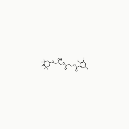 CN1C(C)(C)CC(OCC(O)COC(=O)CCOC(=O)c2cc(I)cc(I)c2I)CC1(C)C